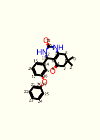 CC1(C)CC(=O)C2=C(C1)NC(=O)NC2c1cccc(Oc2ccccc2)c1